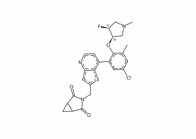 Cc1cc(Cl)cc(-c2ccnc3cc(CN4C(=O)C5CC5C4=O)sc23)c1O[C@@H]1CN(C)C[C@@H]1F